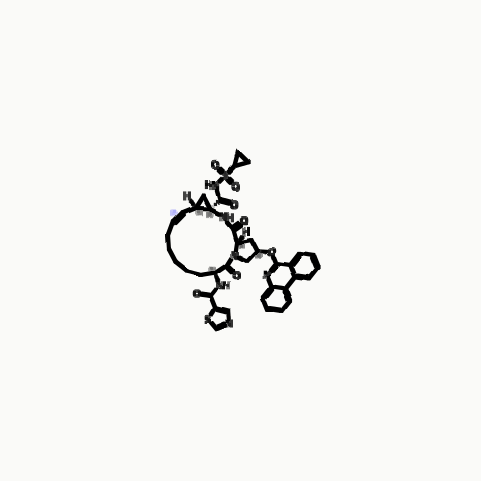 O=C(N[C@H]1CCCCC/C=C\[C@@H]2C[C@@]2(C(=O)NS(=O)(=O)C2CC2)NC(=O)[C@@H]2C[C@@H](Oc3nc4ccccc4c4ccccc34)CN2C1=O)c1cncs1